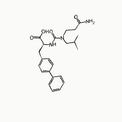 CC(C)CN(CCC(N)=O)C(=O)N[C@@H](Cc1ccc(-c2ccccc2)cc1)C(=O)O